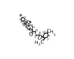 Cc1ccc(C)c(OCCCC(=O)N2CCN(S(=O)(=O)c3ccc(F)cc3)CC2)c1